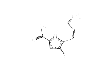 C=C/C=C\c1[nH]c(C(=C)C)cc1C